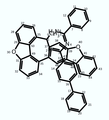 CC(/N=C(\N=C(/N)c1ccccc1)c1ccc(-c2ccccc2)cc1)c1cccc2oc3cccc(-c4ccc5oc6ccccc6c5c4)c3c12